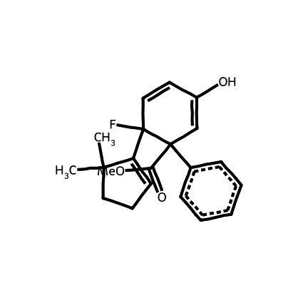 COC(=O)C1(c2ccccc2)C=C(O)C=CC1(F)C1=CCCC1(C)C